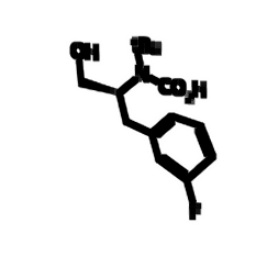 CC(C)(C)N(C(=O)O)[C@H](CO)Cc1cccc(F)c1